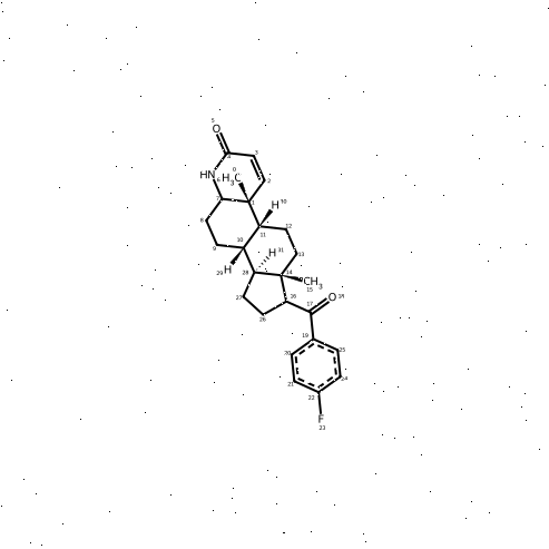 C[C@]12C=CC(=O)NC1CC[C@@H]1[C@H]2CC[C@]2(C)C(C(=O)c3ccc(F)cc3)CC[C@@H]12